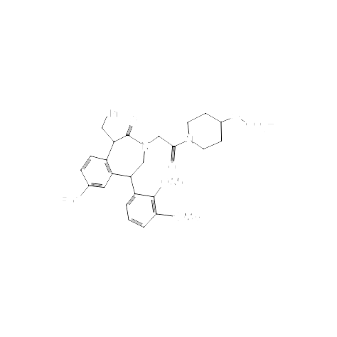 COc1cccc(C2CN(CC(=O)N3CCC(OC(=O)O)CC3)C(=O)C(CC(C)C)c3ccc(C(F)(F)F)cc32)c1OC